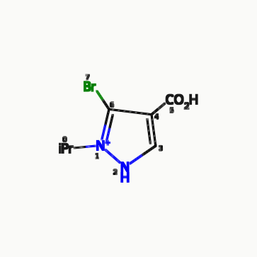 CC(C)[n+]1[nH]cc(C(=O)O)c1Br